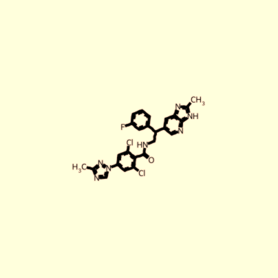 Cc1ncn(-c2cc(Cl)c(C(=O)NCC(c3cccc(F)c3)c3cnc4[nH]c(C)nc4c3)c(Cl)c2)n1